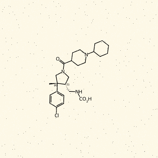 C[C@@]1(c2ccc(Cl)cc2)CN(C(=O)C2CCN(C3CCCCC3)CC2)C[C@@H]1CNC(=O)O